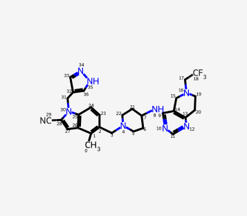 Cc1c(CN2CCC(Nc3ncnc4c3CN(CC(F)(F)F)CC4)CC2)ccc2c1cc(C#N)n2Cc1cn[nH]c1